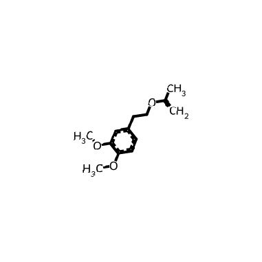 C=C(C)OCCc1ccc(OC)c(OC)c1